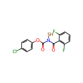 O=C(Oc1ccc(Cl)cc1)N(S)C(=O)c1c(F)cccc1F